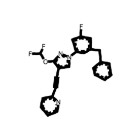 Fc1cc(Cc2ccccc2)cc(-n2cc(C#Cc3ccccn3)c(OC(F)F)n2)c1